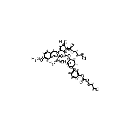 COc1ccc(CN([C@H]2C[C@@H](C)N(C(=O)OCCCCl)[C@H]2COC2CCC(c3cccc(OC(=O)OCCCCl)c3)CC2)S(=O)(=O)N(C)C)cc1